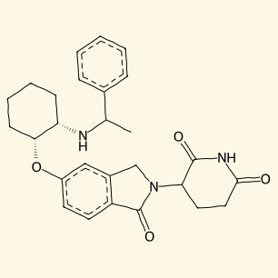 CC(N[C@H]1CCCC[C@H]1Oc1ccc2c(c1)CN(C1CCC(=O)NC1=O)C2=O)c1ccccc1